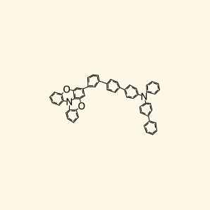 c1ccc(-c2ccc(N(c3ccccc3)c3ccc(-c4ccc(-c5cccc(-c6cc7c8c(c6)Oc6ccccc6N8c6ccccc6O7)c5)cc4)cc3)cc2)cc1